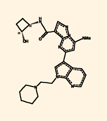 CNc1cc(-c2cn(CCN3CCCCC3)c3ncccc23)nc2c(C(=O)N[C@H]3CC[C@H]3O)cnn12